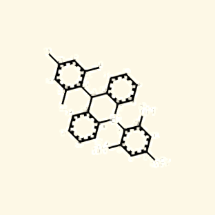 CCCc1cc(CCC)c(B2c3ccccc3C(c3c(C)cc(C)cc3C)c3ccccc32)c(CCC)c1